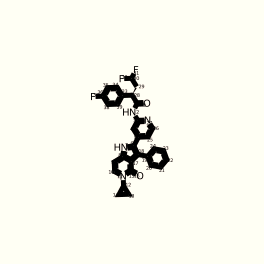 O=C(Nc1cc(-c2[nH]c3ccn(C4CC4)c(=O)c3c2-c2ccccc2)ccn1)[C@@H](CC(F)F)c1ccc(F)cc1